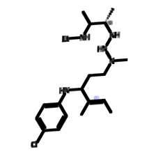 C/C=C(\C)C(CCN(C)NN[C@@H](C)C(C)NCC)Nc1ccc(Cl)cc1